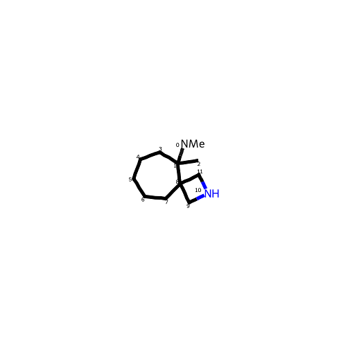 CNC1(C)CCCCCC12CNC2